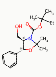 CCC(C)(C)OC(=O)N1[C@H](CO)[C@@H](c2ccccc2)OC1(C)C